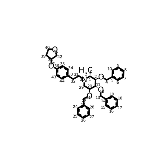 C[C@@H]1[C@@H](OCc2ccccc2)[C@H](OCc2ccccc2)[C@@H](OCc2ccccc2)CN1CCc1ccc(OC2CCOC2)cc1